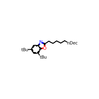 CCCCCCCCCCCCCCCc1nc2cc(C(C)(C)C)cc(C(C)(C)C)c2o1